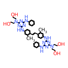 Cc1cc(Nc2nc(Nc3ccccc3)nc(N(CCO)CCO)n2)ccc1C=Cc1ccc(Nc2nc(Nc3ccccc3)nc(N(CCO)CCO)n2)cc1C